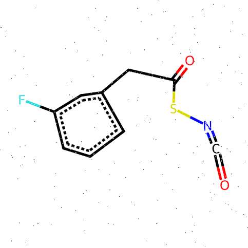 O=C=NSC(=O)Cc1cccc(F)c1